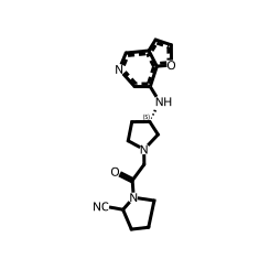 N#CC1CCCN1C(=O)CN1CC[C@H](Nc2cncc3ccoc23)C1